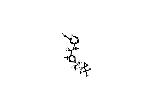 Cn1cc(S(=O)(=O)NC2(C(F)(F)F)CC2)cc1C(=O)Nc1ccnc(C#N)c1